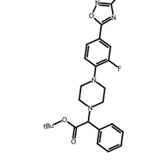 Cc1noc(-c2ccc(N3CCN(C(C(=O)OC(C)(C)C)c4ccccc4)CC3)c(F)c2)n1